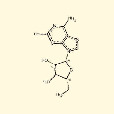 Nc1nc(Cl)nc2c1ncn2[C@@H]1O[C@H](CO)C(O)[C@@H]1O